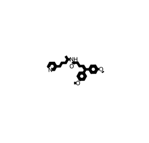 COc1ccc(C(=CCCC(=O)NC(C)CCCc2cccnc2)c2ccc(OC)cc2)cc1